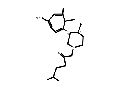 COC1=CC=C([C@H]2CN(CC(=O)CCC(C)I)CC[C@@H]2C)C(C)C(C)=C1